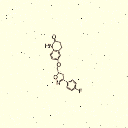 O=C1CCc2cc(OCC3CC(c4ccc(F)cc4)=NO3)ccc2N1